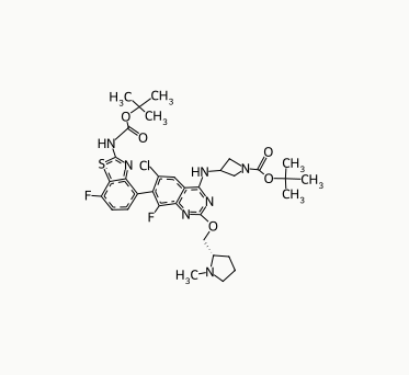 CN1CCC[C@H]1COc1nc(NC2CN(C(=O)OC(C)(C)C)C2)c2cc(Cl)c(-c3ccc(F)c4sc(NC(=O)OC(C)(C)C)nc34)c(F)c2n1